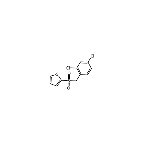 O=S(=O)(Cc1ccc(Cl)cc1Cl)c1cccs1